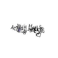 CC(=O)O/N=C(\N)c1ccc(C(=O)NCCCNC(=O)[C@@H]2CCCN2S(=O)(=O)c2ccc(Cl)c(COc3cccc4ccc(C)nc34)c2Cl)cc1